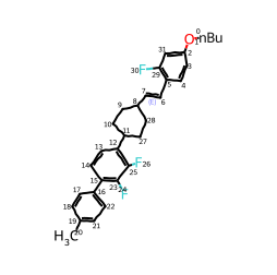 CCCCOc1ccc(/C=C/C2CCC(c3ccc(-c4ccc(C)cc4)c(F)c3F)CC2)c(F)c1